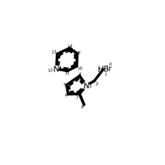 Br.CCn1cccc1C.c1ccncc1